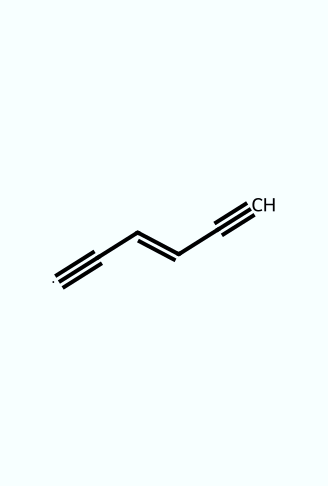 [C]#C/C=C/C#C